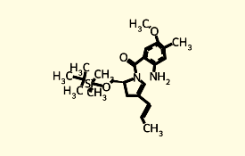 C/C=C/C1=CN(C(=O)c2cc(OC)c(C)cc2N)[C@H](CO[Si](C)(C)C(C)(C)C)C1